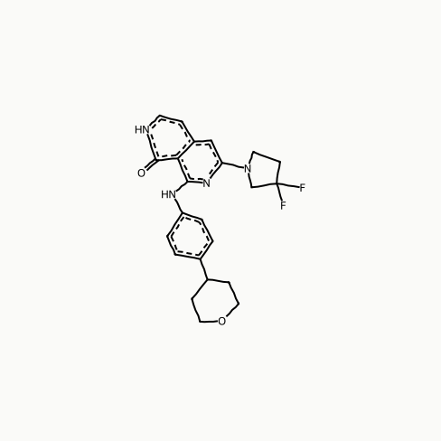 O=c1[nH]ccc2cc(N3CCC(F)(F)C3)nc(Nc3ccc(C4CCOCC4)cc3)c12